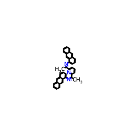 C/C(=N/c1cccc2cc3ccccc3cc12)c1cccc(/C(C)=N\c2cccc3cc4ccccc4cc23)n1